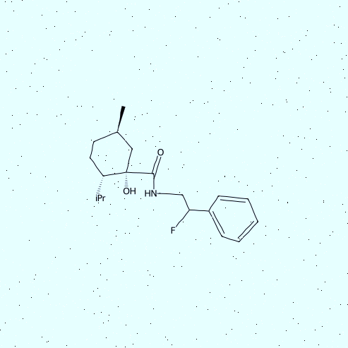 CC(C)[C@@H]1CC[C@@H](C)C[C@@]1(O)C(=O)NCC(F)c1ccccc1